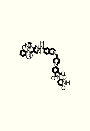 O=C1CCC(N2C(=O)c3ccc(N4CCC(CN5CCc6cc(Nc7ncc8c(=O)n(-c9c(Cl)cccc9Cl)c9nccn9c8n7)ccc6C5)CC4)cc3C2=O)C(=O)N1